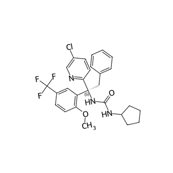 COc1ccc(C(F)(F)F)cc1[C@](Cc1ccccc1)(NC(=O)NC1CCCC1)c1ccc(Cl)cn1